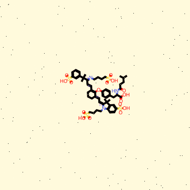 CC(C)CCC(=O)NC(Cc1ccc(OC2=C(/C=C/C(=N\CCCCS(=O)(=O)O)C(C)(C)c3cccc(S(=O)(=O)O)c3)CCC/C2=C\C=C2\N(CCCCS(=O)(=O)O)c3ccc(S(=O)(=O)O)cc3C2(C)C)cc1)C(=O)O